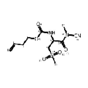 C=CCCOC(=O)NC(CS(C)(=O)=O)C(=O)N(C)C#N